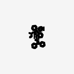 C=CB(c1ccccc1)c1ccccc1.C=CC(C)C[SiH2]C(c1ccccc1)(c1ccccc1)n1ccnc1